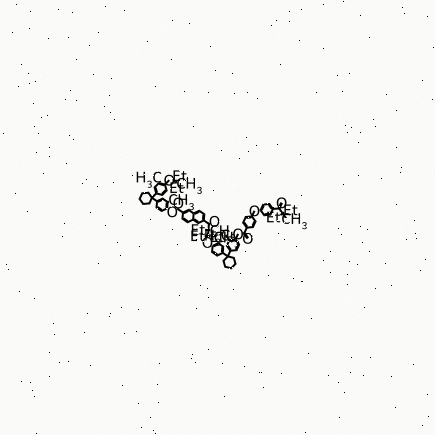 CCC(C)(CC)Oc1ccc(C2(c3ccc(OC(=O)c4ccc5cc(C(=O)C(C)(CC)C(CC)(CC)Oc6ccc(C7(c8ccc(OC(=O)c9ccc(Oc%10ccc(C(=O)C(C)(CC)CC)cc%10)cc9)c(C)c8)CCCCC7)cc6C)ccc5c4)c(C)c3)CCCCC2)cc1C